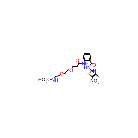 Cc1nc(NC(=O)c2ccccc2NC(=O)CCOCCOCCNC(=O)O)sc1[N+](=O)[O-]